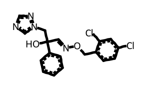 OC(C=NOCc1ccc(Cl)cc1Cl)(Cn1cncn1)c1ccccc1